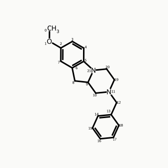 COc1ccc2c(c1)CC1CN(Cc3ccccc3)CCN21